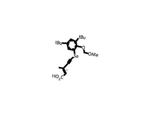 COCOc1c([Se]C#C/C(C)=C/C(=O)O)cc(C(C)(C)C)cc1C(C)(C)C